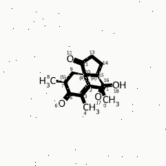 CCC1=C(C)C(=O)[C@@H](C)C[C@]12C(=O)CC[C@H]2C(=O)O